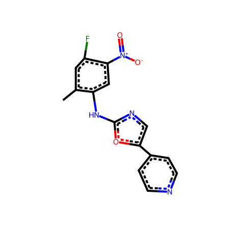 Cc1cc(F)c([N+](=O)[O-])cc1Nc1ncc(-c2ccncc2)o1